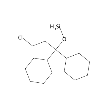 [SiH3]OC(CCCl)(C1CCCCC1)C1CCCCC1